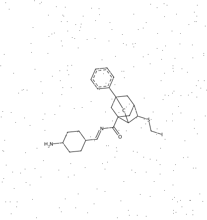 NC1CCC(/C=N/C(=O)C23CC4CC(c5ccccc5)(CC2C4SCI)C3)CC1